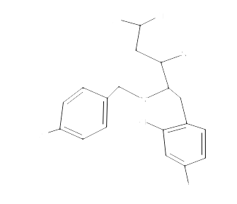 Cc1ccc(CNC(Cc2ccc(F)cc2Cl)C(N)CC(C)C)cc1